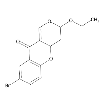 CCOC1CC2Oc3ccc(Br)cc3C(=O)C2=CO1